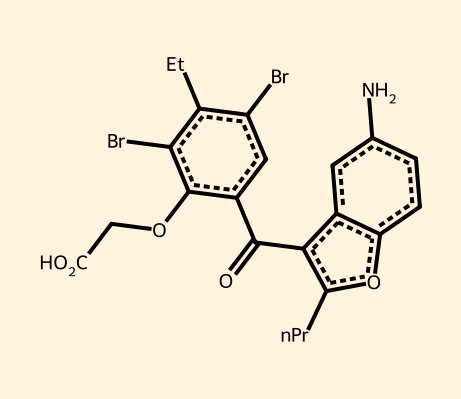 CCCc1oc2ccc(N)cc2c1C(=O)c1cc(Br)c(CC)c(Br)c1OCC(=O)O